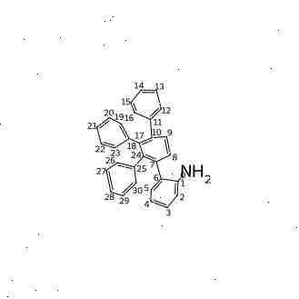 Nc1ccccc1-c1ccc(-c2ccccc2)c(-c2ccccc2)c1-c1ccccc1